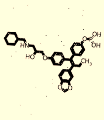 CC/C(=C(/c1ccc(OCC(O)CNCC2CCCCC2)cc1)c1ccc(OP(O)O)cc1)c1ccc2c(c1)OCO2